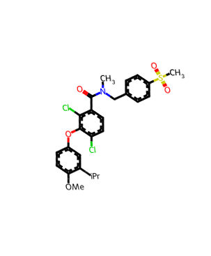 COc1ccc(Oc2c(Cl)ccc(C(=O)N(C)Cc3ccc(S(C)(=O)=O)cc3)c2Cl)cc1C(C)C